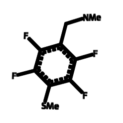 CNCc1c(F)c(F)c(SC)c(F)c1F